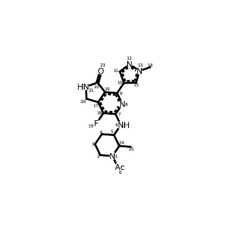 CC(=O)N1CCCC(Nc2nc(-c3cnn(C)c3)c3c(c2F)CNC3=O)C1C